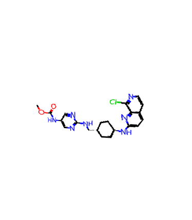 COC(=O)Nc1cnc(NC[C@H]2CC[C@H](Nc3ccc4ccnc(Cl)c4n3)CC2)nc1